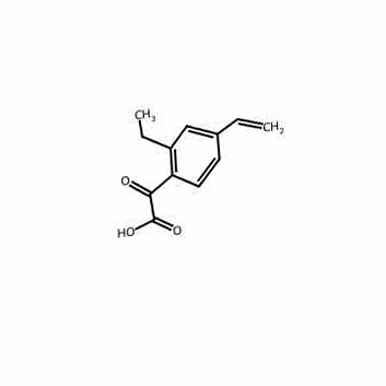 C=Cc1ccc(C(=O)C(=O)O)c(CC)c1